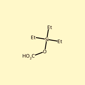 CC[Si](CC)(CC)OC(=O)O